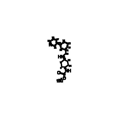 CC(C)(C)OC(=O)N[C@H]1CC[C@H](NCc2cccc(-c3cccnc3)c2)CC1